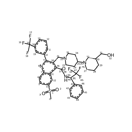 CS(=O)(=O)c1ccc2nc(-c3cccc(C(F)(F)F)c3)c(CN3CCC(N4CCCC(CO)C4)CC3)c(C(=O)N[C@H](c3ccccc3)C(F)(F)F)c2c1